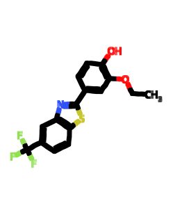 CCOc1cc(-c2nc3cc(C(F)(F)F)ccc3s2)ccc1O